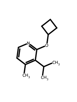 Cc1ccnc(OC2CCC2)c1C(C)C